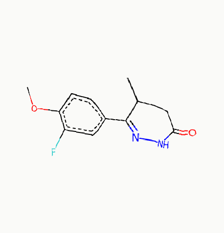 COc1ccc(C2=NNC(=O)CC2C)cc1F